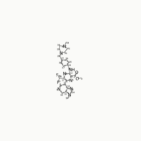 COC(=O)c1nc(-c2cncc3c2ncn3C)c(C(F)F)nc1Nc1ccc(CN2CCN(C)CC2)cc1